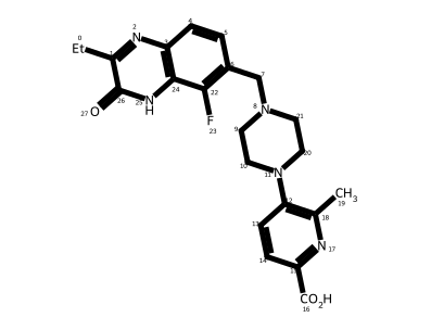 CCc1nc2ccc(CN3CCN(c4ccc(C(=O)O)nc4C)CC3)c(F)c2[nH]c1=O